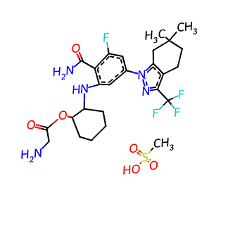 CC1(C)CCc2c(C(F)(F)F)nn(-c3cc(F)c(C(N)=O)c(NC4CCCCC4OC(=O)CN)c3)c2C1.CS(=O)(=O)O